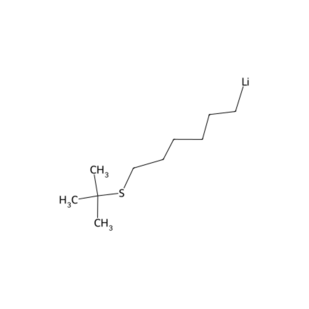 [Li][CH2]CCCCCSC(C)(C)C